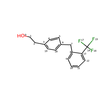 OCCc1ccc(Cc2ccccc2C(F)(F)F)cc1